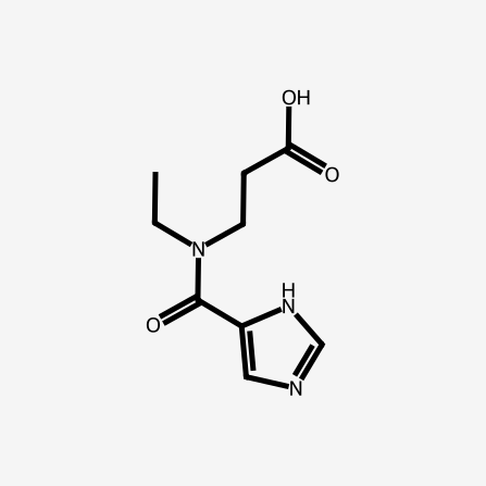 CCN(CCC(=O)O)C(=O)c1cnc[nH]1